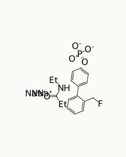 CCNC(=O)CC.FCc1ccccc1-c1ccccc1.O=P([O-])([O-])[O-].[Na+].[Na+].[Na+]